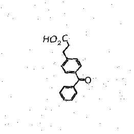 O=C(O)CCc1ccc(C(=O)c2ccccc2)cc1